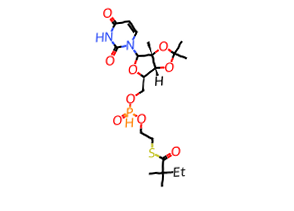 CCC(C)(C)C(=O)SCCO[PH](=O)OC[C@H]1OC(n2ccc(=O)[nH]c2=O)[C@]2(C)OC(C)(C)O[C@H]12